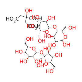 O=C(O)CC(O)(CC(=O)O)C(=O)O.OC[C@H]1O[C@@H](O[C@H]2[C@H](O)[C@@H](O)[C@H](O)O[C@@H]2CO)[C@H](O)[C@@H](O)[C@H]1O.OC[C@H]1O[C@@](CO)(O[C@H]2O[C@H](CO)[C@@H](O)[C@H](O)[C@H]2O)[C@@H](O)[C@@H]1O